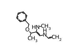 C=CN/C=C(\NC)C(C)OCc1ccccc1